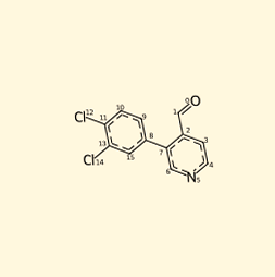 O=Cc1ccncc1-c1ccc(Cl)c(Cl)c1